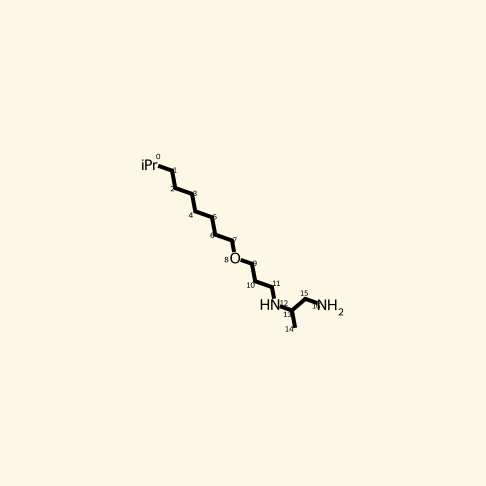 CC(C)CCCCCCCOCCCNC(C)CN